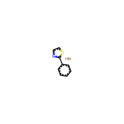 Br.c1ccc(-c2nccs2)cc1